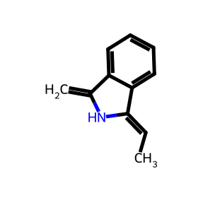 C=c1[nH]/c(=C\C)c2ccccc12